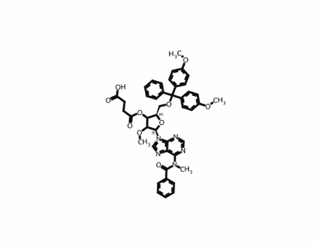 COc1ccc(C(OC[C@H]2O[C@@H](n3cnc4c(N(C)C(=O)c5ccccc5)ncnc43)C(OC)C2OC(=O)CCC(=O)O)(c2ccccc2)c2ccc(OC)cc2)cc1